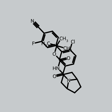 CC(C)(C)OC(=O)NC1CC2CCC(C1)N2C(=O)c1ccc(Cl)c(-c2ccc(C#N)c(F)c2)c1